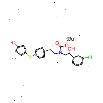 CC(C)(C)OC(=O)N(CCc1ccc(Sc2ccc([O])cc2)cc1)C[C@H](O)c1cccc(Cl)c1